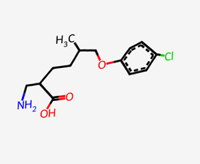 CC(CCC(CN)C(=O)O)COc1ccc(Cl)cc1